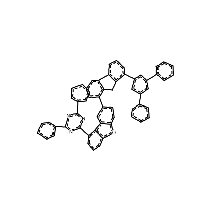 c1ccc(-c2cc(-c3ccccc3)cc(-c3cccc4c3Cc3c(-c5ccc6oc7cccc(-c8nc(-c9ccccc9)nc(-c9ccccc9)n8)c7c6c5)cccc3-4)c2)cc1